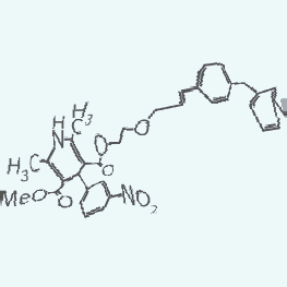 COC(=O)C1=C(C)NC(C)=C(C(=O)OCCOCC=Cc2ccc(Cc3cccnc3)cc2)C1c1cccc([N+](=O)[O-])c1